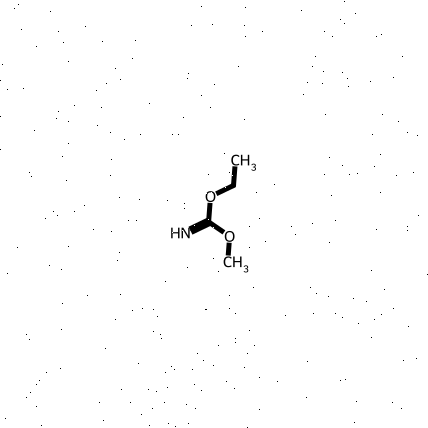 CCOC(=N)OC